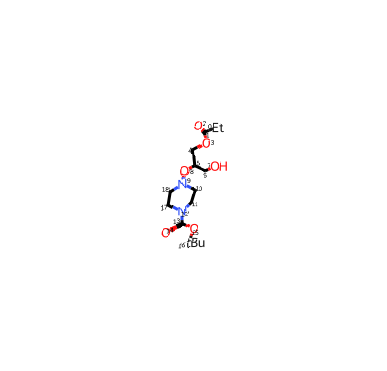 CCC(=O)OCC(CO)ON1CCN(C(=O)OC(C)(C)C)CC1